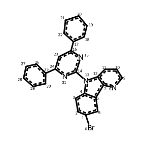 Brc1ccc2c(c1)c1ncccc1n2-c1nc(-c2ccccc2)cc(-c2ccccc2)n1